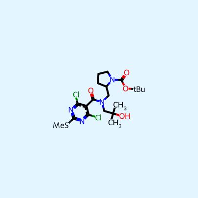 CSc1nc(Cl)c(C(=O)N(CC2CCCN2C(=O)OC(C)(C)C)CC(C)(C)O)c(Cl)n1